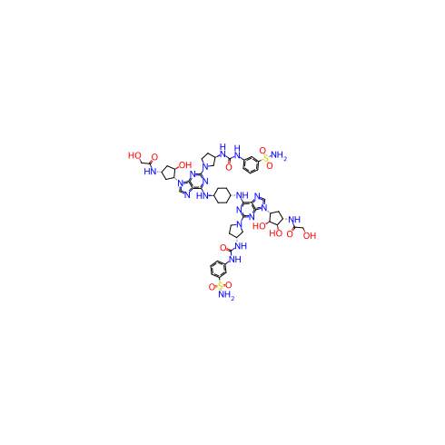 NS(=O)(=O)c1cccc(NC(=O)N[C@@H]2CCN(c3nc(N[C@H]4CC[C@H](Nc5nc(N6CC[C@@H](NC(=O)Nc7cccc(S(N)(=O)=O)c7)C6)nc6c5ncn6[C@@H]5C[C@H](NC(=O)CO)C[C@H]5O)CC4)c4ncn([C@@H]5C[C@H](NC(=O)CO)[C@@H](O)[C@H]5O)c4n3)C2)c1